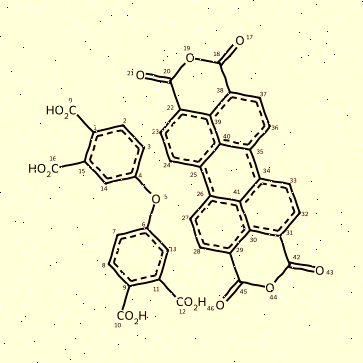 O=C(O)c1ccc(Oc2ccc(C(=O)O)c(C(=O)O)c2)cc1C(=O)O.O=C1OC(=O)c2ccc3c4ccc5c6c(ccc(c7ccc1c2c73)c64)C(=O)OC5=O